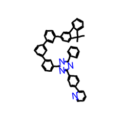 CC1(C)c2ccccc2-c2cc(-c3cccc(-c4cccc(-c5cccc(-c6nc(-c7ccccc7)nc(-c7ccc(-c8ccccn8)cc7)n6)c5)c4)c3)ccc21